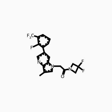 Cc1cn(CC(=O)N2CC(F)(F)C2)c2cc(-c3cccc(C(F)(F)F)c3F)cnc12